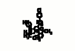 CCc1cccc(CC)c1N1C(=O)C(c2nc(-c3ccc(Cl)cc3)cs2)CC(C(=O)N2CCNCC2)=C1CC(C)C